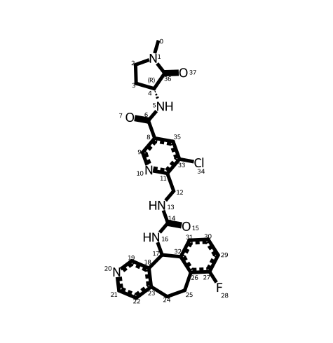 CN1CC[C@@H](NC(=O)c2cnc(CNC(=O)NC3c4cnccc4CCc4c(F)cccc43)c(Cl)c2)C1=O